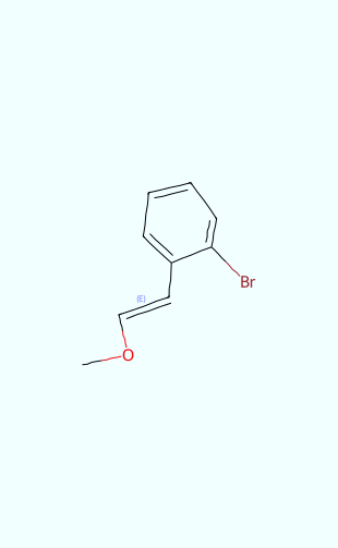 CO/C=C/c1ccccc1Br